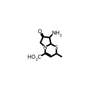 CC1C=C(C(=O)O)N2CC(=O)C(N)C2S1